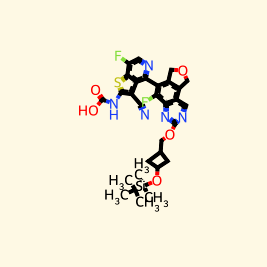 CC(C)(C)[Si](C)(C)OC1CC(COc2ncc3c4c(c(-c5ncc(F)c6sc(NC(=O)O)c(C#N)c56)c(F)c3n2)COC4)C1